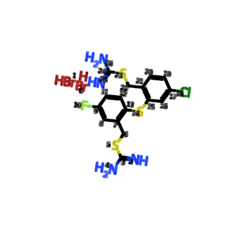 Br.Br.N=C(N)SCc1cc(F)ccc1Sc1cc(Cl)ccc1CSC(=N)N